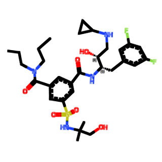 CCCN(CCC)C(=O)c1cc(C(=O)N[C@@H](Cc2cc(F)cc(F)c2)[C@H](O)CNC2CC2)cc(S(=O)(=O)NC(C)(C)CO)c1